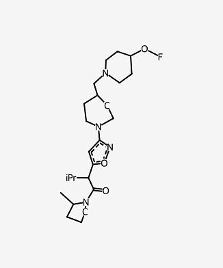 CC(C)C(C(=O)N1CCCC1C)c1cc(N2CCC(CN3CCC(OF)CC3)CC2)no1